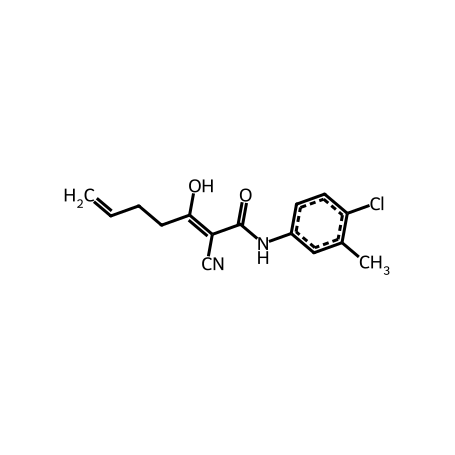 C=CCC/C(O)=C(\C#N)C(=O)Nc1ccc(Cl)c(C)c1